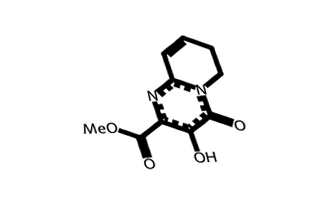 COC(=O)c1nc2n(c(=O)c1O)CCC=C2